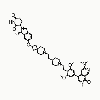 COc1cc(-c2cn(C)c(=O)c3cnc(N(C)C)cc23)cc(OC)c1CCN1CCC(CCN2CCC3(CC2)CC(Oc2ccc4c(c2)C(=O)N(C2CCC(=O)NC2=O)C4)C3)CC1